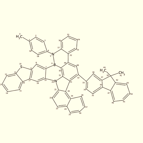 Cc1ccc(N2B3c4cc5sc6ccccc6c5cc4-n4c5ccc6ccccc6c5c5c(-c6ccc7c(c6)C(C)(C)c6ccccc6-7)cc(c3c54)-c3ccccc32)cc1